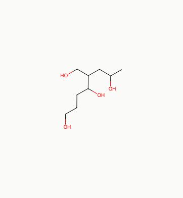 CC(O)CC(CO)[C](O)CCCO